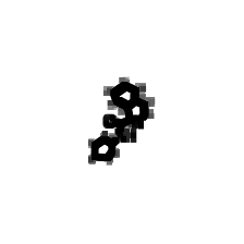 O=C(NC1CCCCC1)c1nccc2ccccc12